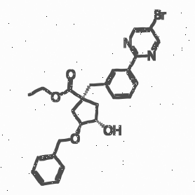 CCOC(=O)[C@]1(Cc2cccc(-c3ncc(Br)cn3)c2)C[C@H](OCc2ccccc2)[C@@H](O)C1